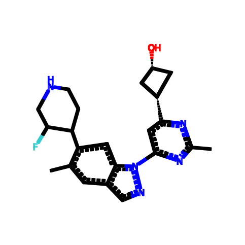 Cc1nc(-n2ncc3cc(C)c(C4CCNCC4F)cc32)cc([C@H]2C[C@@H](O)C2)n1